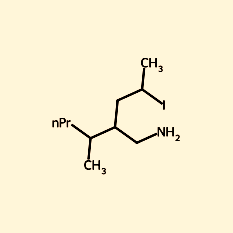 CCCC(C)C(CN)CC(C)I